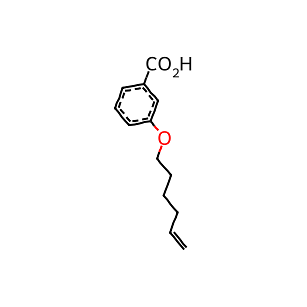 C=CCCCCOc1cccc(C(=O)O)c1